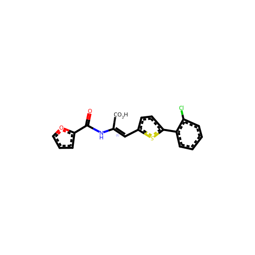 O=C(O)/C(=C\c1ccc(-c2ccccc2Cl)s1)NC(=O)c1ccco1